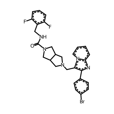 O=C(NCc1c(F)cccc1F)N1CC2CN(Cc3c(-c4ccc(Br)cc4)nc4ccccn34)CC2C1